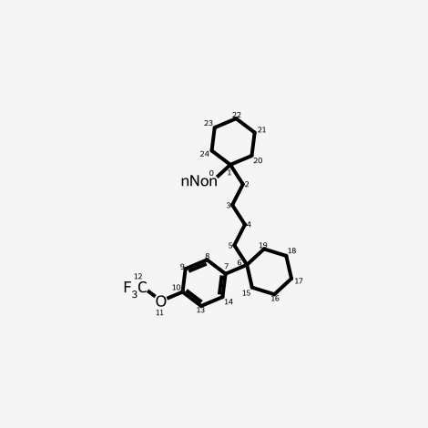 CCCCCCCCCC1(CCCCC2(c3ccc(OC(F)(F)F)cc3)CCCCC2)CCCCC1